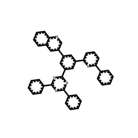 c1ccc(-c2cccc(-c3cc(-c4cnc5ccccc5c4)cc(-c4nc(-c5ccccc5)nc(-c5ccccc5)n4)c3)n2)cc1